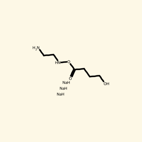 NCCNOC(=O)CCCO.[NaH].[NaH].[NaH]